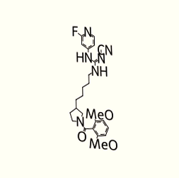 COc1cccc(OC)c1C(=O)N1CCC(CCCCCNC(=NC#N)Nc2ccnc(F)c2)C1